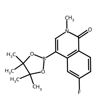 Cn1cc(B2OC(C)(C)C(C)(C)O2)c2cc(F)ccc2c1=O